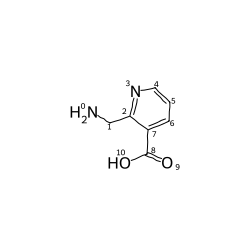 NCc1ncccc1C(=O)O